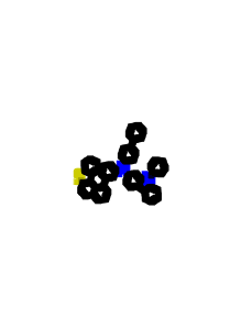 c1ccc(-c2ccc(N(c3cccc(-c4cccc5ccc6sc7ccccc7c6c45)c3)c3ccc4c5ccccc5n(-c5ccccc5)c4c3)cc2)cc1